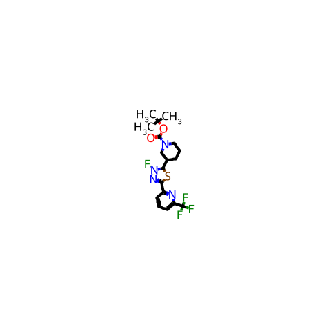 CC(C)(C)OC(=O)N1CCCC(C2SC(c3cccc(C(F)(F)F)n3)=NN2F)C1